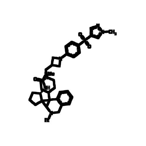 CCN1Cc2ccccc2C2(C3CCN(CC4CN(c5ccc(S(=O)(=O)c6cnn(C)c6)cc5)C4)CC3)C1C21CCC[C@@H]1NC(=O)NC